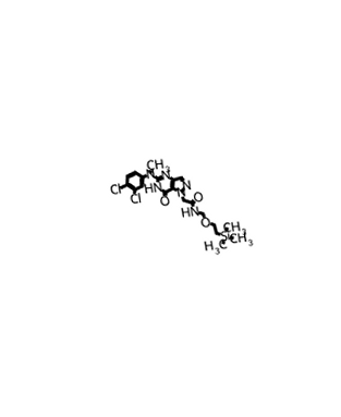 CN(c1ccc(Cl)c(Cl)c1)c1nc2cnn(CC(=O)NCOCC[Si](C)(C)C)c2c(=O)[nH]1